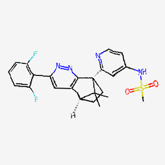 CC1(C)[C@H]2CC[C@]1(c1cc(NS(C)(=O)=O)ccn1)c1nnc(-c3c(F)cccc3F)cc12